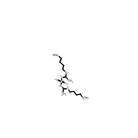 CCCCCCCCCCCCCCOC(C)OS(=O)(=O)OC(C)OCCCCCCCCCCCCCC